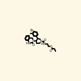 CCC(=O)OCCNC(=O)N1CCC(N2Cc3ccccc3NC2=O)C(c2ccc(Br)c(C)c2)C1